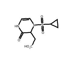 O=C(O)CC1C(=O)NC=CN1S(=O)(=O)C1CC1